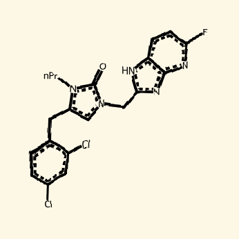 CCCn1c(Cc2ccc(Cl)cc2Cl)cn(Cc2nc3nc(F)ccc3[nH]2)c1=O